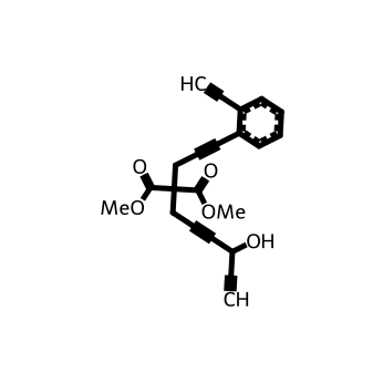 C#Cc1ccccc1C#CCC(CC#CC(O)C#C)(C(=O)OC)C(=O)OC